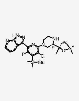 CC(C)[C@@](C)(O[Si](C)(C)C)[C@H]1CN(c2nc(-c3n[nH]c4ncccc34)c(F)c([Si](C)(C)C(C)(C)C)c2Cl)CCN1